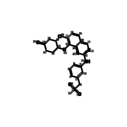 CS(=O)(=O)Cc1cccc(Nc2ncc3ccc(Cl)c(OC4CCC(=O)CC4)c3n2)c1